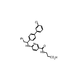 CC(C)CC(Nc1ccc(C(=O)NCCC(=O)O)cn1)c1ccc(-c2cccc(Cl)c2)cc1